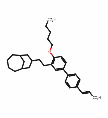 O=C(O)/C=C/c1ccc(-c2ccc(OCCCCC(=O)O)c(CCC3CC4CCCCC(C4)C3)c2)cc1